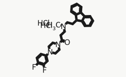 CN(CCC(=O)N1CCN(c2ccc(F)c(F)c2)CC1)CCC1c2ccccc2-c2ccccc21.Cl.Cl